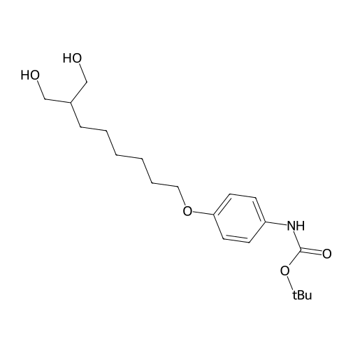 CC(C)(C)OC(=O)Nc1ccc(OCCCCCCC(CO)CO)cc1